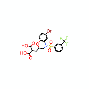 O=C(O)C(CC1CN(S(=O)(=O)c2cccc(C(F)(F)F)c2)c2cc(Br)ccc2O1)C(=O)O